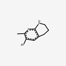 Cc1nc2c(cc1C(C)C)CCCN2